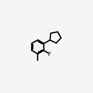 Cc1cccc(C2CCCC2)c1F